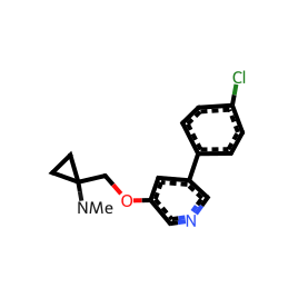 CNC1(COc2cncc(-c3ccc(Cl)cc3)c2)CC1